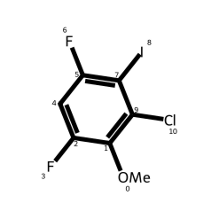 COc1c(F)cc(F)c(I)c1Cl